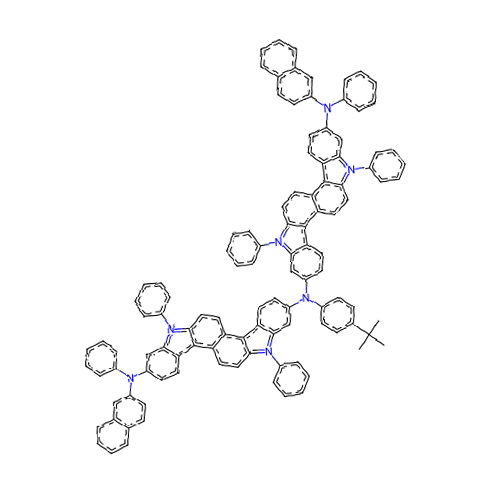 CC(C)(C)c1ccc(N(c2ccc3c4c5ccc6c(c5ccc4n(-c4ccccc4)c3c2)c2ccc(N(c3ccccc3)c3ccc4ccccc4c3)cc2n6-c2ccccc2)c2ccc3c4c5ccc6c(c5ccc4n(-c4ccccc4)c3c2)c2ccc(N(c3ccccc3)c3ccc4ccccc4c3)cc2n6-c2ccccc2)cc1